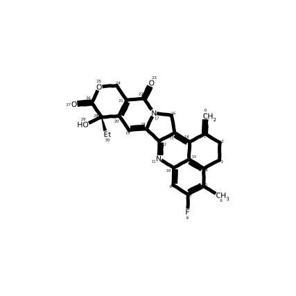 C=C1CCc2c(C)c(F)cc3nc4c(c1c23)Cn1c-4cc2c(c1=O)COC(=O)[C@]2(O)CC